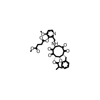 COC(=O)CCC(=O)Oc1c(OC)ccnc1CN[C@H]1CC(=O)C(=O)[C@H](Cc2ccccc2)[C@H](OC(=O)C(C)C)[C@H](C)C(=O)C1=O